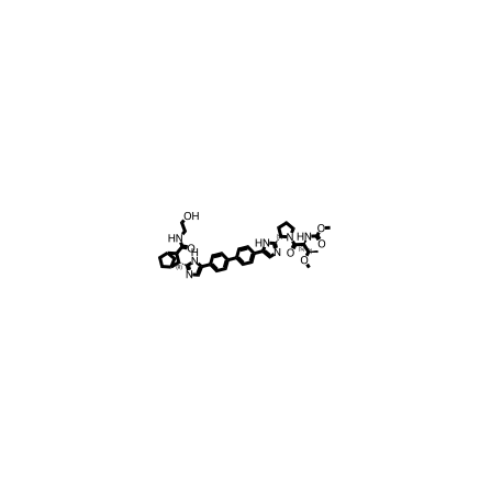 COC(=O)N[C@H](C(=O)N1CCC[C@H]1c1ncc(-c2ccc(-c3ccc(-c4cnc([C@@H]5C6CCC(C6)C5C(=O)NCCO)[nH]4)cc3)cc2)[nH]1)[C@@H](C)OC